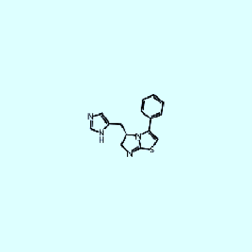 C1=C(c2ccccc2)N2C(=NC[C@H]2Cc2cnc[nH]2)S1